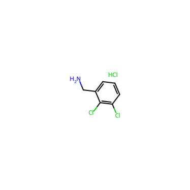 Cl.NCc1cccc(Cl)c1Cl